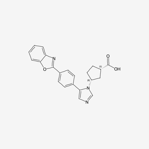 O=C(O)[C@H]1CC[C@@H](n2cncc2-c2ccc(-c3nc4ccccc4o3)cc2)C1